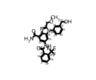 COCc1nc2c(C(N)=O)cc(NC(=O)c3ccccc3C(F)(F)F)cc2n1-c1cccc(CO)c1